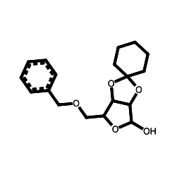 OC1OC(COCc2ccccc2)C2OC3(CCCCC3)OC12